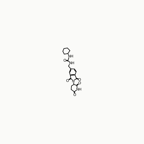 O=C1CCC(N2C(=O)c3ccc(CNC(=O)NC4CCCCC4)cc3C2=O)C(=O)N1